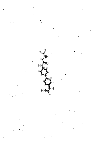 CC(=N)Nc1ccc(-c2ccc(NC(=O)CNC(C)C)cc2)cc1